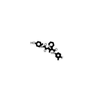 Cc1cc(NC(=O)c2c(C)c(C(=O)C(=O)NC3(C)CCC(O)CC3)n3c2CCCC3)ccc1F